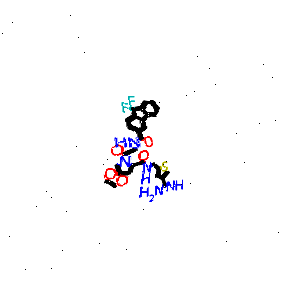 N=C(N)c1csc(CNC(=O)C2CC3(CN2C(=O)CNC(=O)c2ccc4c(c2)-c2ccccc2C4(F)F)OCCO3)c1